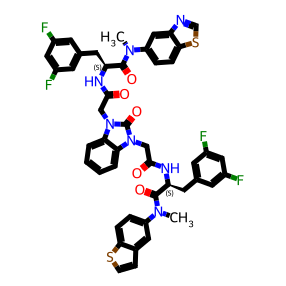 CN(C(=O)[C@H](Cc1cc(F)cc(F)c1)NC(=O)Cn1c(=O)n(CC(=O)N[C@@H](Cc2cc(F)cc(F)c2)C(=O)N(C)c2ccc3scnc3c2)c2ccccc21)c1ccc2sccc2c1